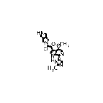 COc1cnc(-n2cnc(C)n2)c2[nH]cc(C(=O)C(=O)N3CC4CNCC4C3)c12